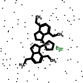 CCC1=CC=C(CC)C2C1CC[CH]2[Zr+2]1([CH]2CCC3C(CC)=CC=C(CC)C32)[CH2]CC[CH2]1.[Cl-].[Cl-]